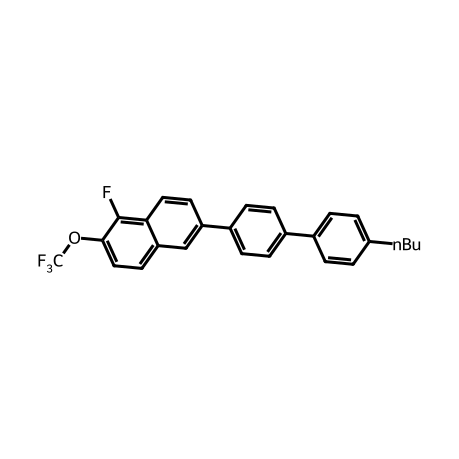 CCCCc1ccc(-c2ccc(-c3ccc4c(F)c(OC(F)(F)F)ccc4c3)cc2)cc1